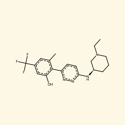 CCN1CCC[C@@H](Nc2ccc(-c3c(C)cc(C(F)(F)F)cc3O)nn2)C1